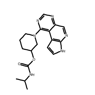 CC(C)NC(=O)OC1CCCN(c2ncnc3cnc4[nH]ccc4c23)C1